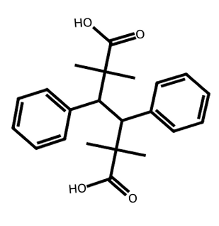 CC(C)(C(=O)O)C(c1ccccc1)C(c1ccccc1)C(C)(C)C(=O)O